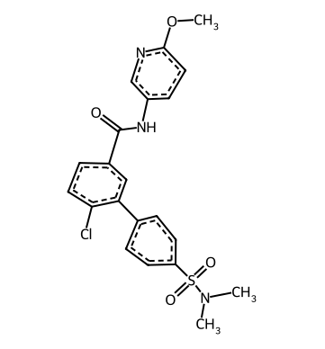 COc1ccc(NC(=O)c2ccc(Cl)c(-c3ccc(S(=O)(=O)N(C)C)cc3)c2)cn1